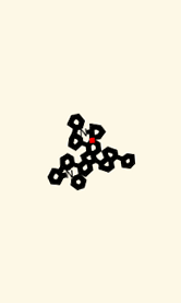 c1ccc(-c2cccc3c(-c4c5cccc(-c6cccc7c8ccccc8n(-c8ccccc8)c67)c5cc5c(-c6cccc7c8ccccc8n(-c8ccccc8)c67)cccc45)cccc23)cc1